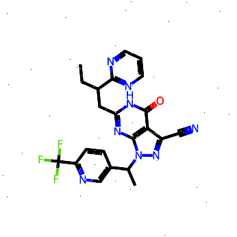 CCC(Cc1nc2c(c(C#N)nn2C(C)c2ccc(C(F)(F)F)nc2)c(=O)[nH]1)c1ncccn1